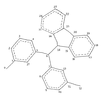 Cc1cccc(C(c2cccc(C)c2)C2c3ccccc3-c3ccccc32)c1